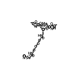 C=C1CC2C=Nc3cc(OCc4cc(C#CCNC(=O)CCOCCOCCOCCOCCNC(=O)OC[C@@H](C)SSc5ccccn5)cc(COc5cc6c(cc5OC)C(=O)N5CC(=C)C[C@H]5C=N6)c4)c(OC)cc3C(=O)N2C1